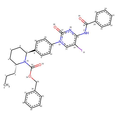 CCC[C@@H]1CCC[C@@H](c2ccc(-n3cc(I)c(NC(=O)c4ccccc4)nc3=O)cc2)N1C(=O)OCc1ccccc1